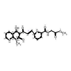 COC(=O)CNC(=O)c1cccc(/C=C/C(=O)c2c(O)c3cccnc3n(C)c2=O)n1